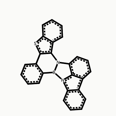 c1ccc2c(c1)B1N(c3c-2sc2ccccc32)c2cccc3c4ccccc4n1c23